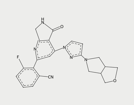 N#Cc1cccc(F)c1-c1cc(-n2ccc(N3CC4COCC4C3)n2)c2c(n1)CNC2=O